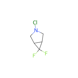 FC1(F)C2CN(Cl)CC21